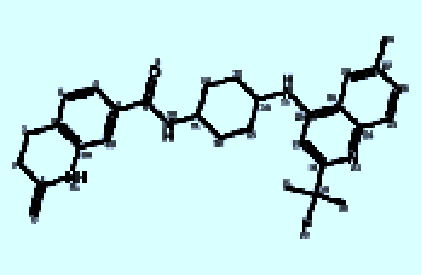 C=C1CCc2ccc(C(=O)NC3CCC(Nc4cc(C(C)(C)F)nc5ccc(C)cc45)CC3)cc2N1